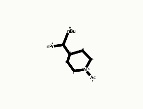 CCCCC(CCC)C1CCN(C(C)=O)CC1